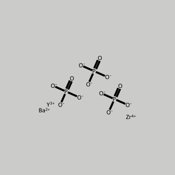 O=P([O-])([O-])[O-].O=P([O-])([O-])[O-].O=P([O-])([O-])[O-].[Ba+2].[Y+3].[Zr+4]